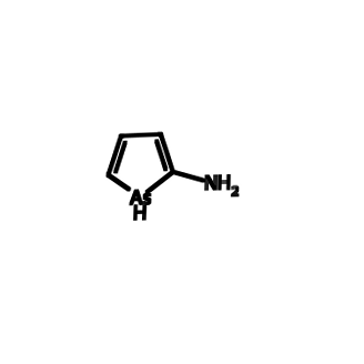 NC1=CC=C[AsH]1